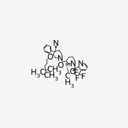 CCC[C@@H]1C(C(=O)N2CCC(C#N)(c3ccccc3OCCCC(C)(C)C)CC2)CCCN1C(=O)c1ncccc1C(F)(F)F